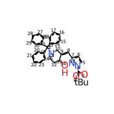 CC(C)(C)OC(=O)n1ccc(/C=C2/CN(C(c3ccccc3)(c3ccccc3)c3ccccc3)CCC2O)n1